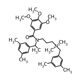 COc1cc(C(=O)N(CCC[N+](C)(C)Cc2cc(C)cc(C)c2)C(C)c2cc(C)cc(C)c2)cc(OC)c1OC